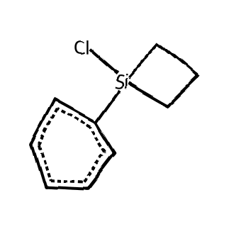 Cl[Si]1(c2ccccc2)CCC1